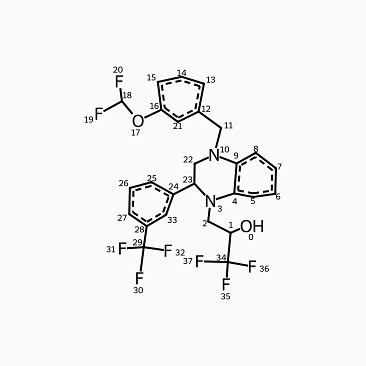 OC(CN1c2ccccc2N(Cc2cccc(OC(F)F)c2)CC1c1cccc(C(F)(F)F)c1)C(F)(F)F